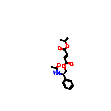 CC(=O)N[C@@H](COC(=O)/C=C/C(=O)OC(C)C)c1ccccc1